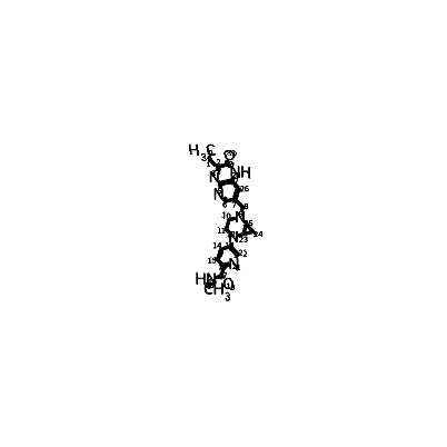 CCc1nc2ncc(CN3CCN(c4ccc(C(=O)NC)nc4)C4CC43)cc2[nH]c1=O